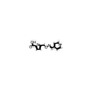 O=C(O)c1ccc(CON=Cc2ccncc2)s1